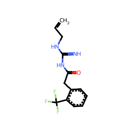 C=CCNC(=N)NC(=O)Cc1ccccc1C(F)(F)F